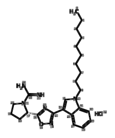 CCCCCCCCCCn1cc(-c2noc([C@@H]3CCCN3C(=N)N)n2)c2ccccc21.Cl